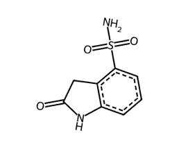 NS(=O)(=O)c1cccc2c1CC(=O)N2